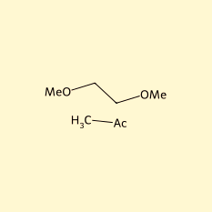 CC(C)=O.COCCOC